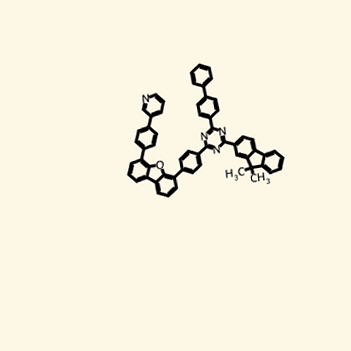 CC1(C)c2ccccc2-c2ccc(-c3nc(-c4ccc(-c5ccccc5)cc4)nc(-c4ccc(-c5cccc6c5oc5c(-c7ccc(-c8cccnc8)cc7)cccc56)cc4)n3)cc21